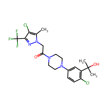 Cc1c(Cl)c(C(F)(F)F)nn1CC(=O)N1CCN(c2ccc(Cl)c(C(C)(C)O)c2)CC1